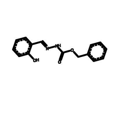 O=C(N/N=C/c1ccccc1O)OCc1ccccc1